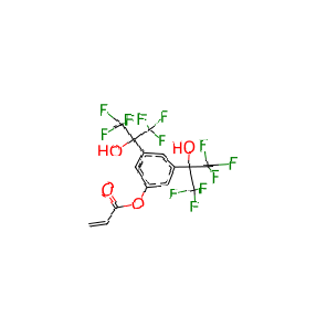 C=CC(=O)Oc1cc(C(O)(C(F)(F)F)C(F)(F)F)cc(C(O)(C(F)(F)F)C(F)(F)F)c1